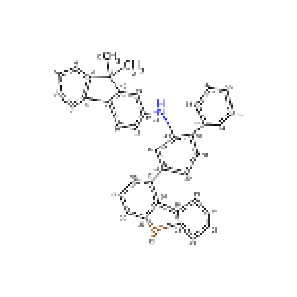 CC1(C)c2ccccc2-c2ccc(Nc3cc(-c4cccc5sc6ccccc6c45)ccc3-c3ccccc3)cc21